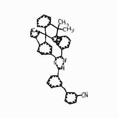 CC1(C)c2ccccc2C2(c3ccccc3-c3ccc(-c4nc(-c5cccc(-c6cccc(C#N)c6)c5)nnc4-c4ccccc4)cc32)c2ccccc21